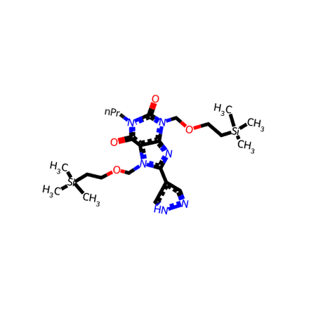 CCCn1c(=O)c2c(nc(-c3cn[nH]c3)n2COCC[Si](C)(C)C)n(COCC[Si](C)(C)C)c1=O